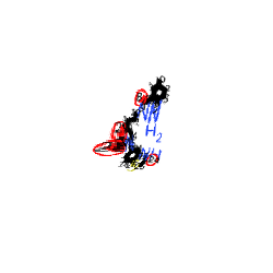 Cc1ccc(N)c(C(=O)NCCCC2CN(c3ccc4c(c3)NC(=O)CS4)C(=O)O2)c1